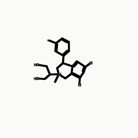 [CH]c1cccc(C2C[N+](C)(C(CO)CO)Cc3c(Cl)cc(Cl)cc32)c1